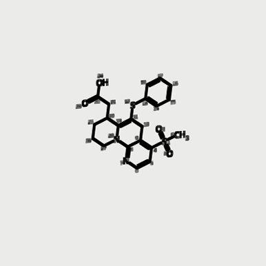 CS(=O)(=O)c1ccnc2c1CC(Sc1ccccc1)=C1C(CC(=O)O)CCCN12